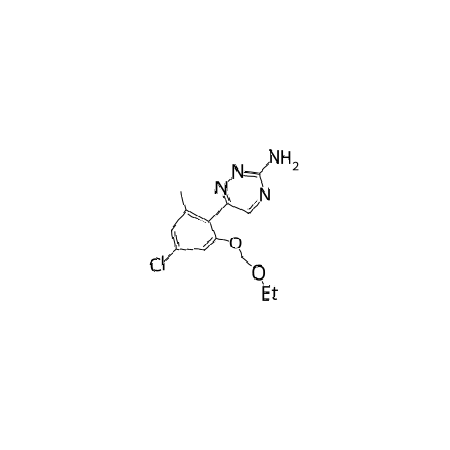 CCOCOc1cc(Cl)cc(C)c1-c1cnc(N)nn1